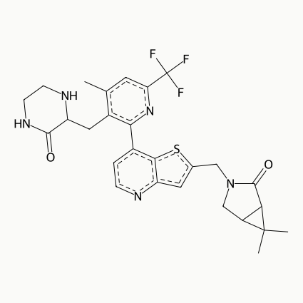 Cc1cc(C(F)(F)F)nc(-c2ccnc3cc(CN4CC5C(C4=O)C5(C)C)sc23)c1CC1NCCNC1=O